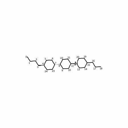 CCCC[C@H]1CC[C@H](C2CCC(N3CCC(CCC)CC3)CC2)CC1